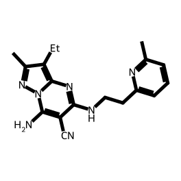 CCc1c(C)nn2c(N)c(C#N)c(NCCc3cccc(C)n3)nc12